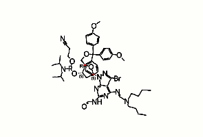 CCCCN(C=Nc1nc(NC=O)nc2c1c(Br)nn2[C@@H]1C[C@H](OP(OCCC#N)N(C(C)C)C(C)C)[C@@H](COC(c2ccccc2)(c2ccc(OC)cc2)c2ccc(OC)cc2)O1)CCCC